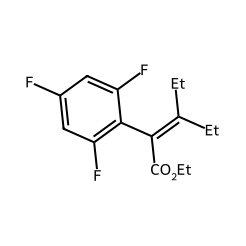 CCOC(=O)C(=C(CC)CC)c1c(F)cc(F)cc1F